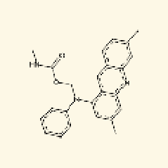 CNC(=O)OCN(c1ccccc1)c1cc(C)cc2nc3cc(C)ccc3cc12